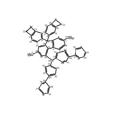 CC(C)(C)c1ccc2c(c1)C(c1ccc3c(c1)CC3)(c1ccc3c(c1)CC3)c1cc(C(C)(C)C)cc(N(c3ccc(-c4ccccc4)cc3)c3ccc(-c4ccccc4)cc3)c1-2